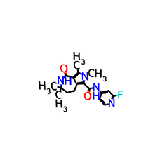 Cc1c2c(c(C(=O)Nc3ccnc(F)c3)n1C)CCC(C)(C)NC2=O